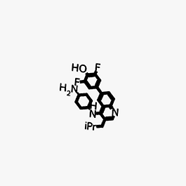 CC(C)Cc1cnc2ccc(-c3cc(F)c(O)c(F)c3)cc2c1N[C@H]1CC[C@H](N)CC1